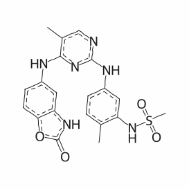 Cc1ccc(Nc2ncc(C)c(Nc3ccc4oc(=O)[nH]c4c3)n2)cc1NS(C)(=O)=O